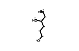 CCCCCC(O)CCC[O]